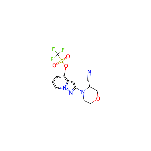 N#CC1COCCN1c1cc2c(OS(=O)(=O)C(F)(F)F)cccn2n1